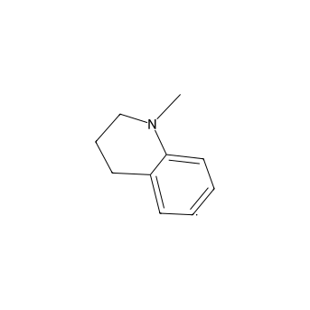 CN1CCCc2c[c]ccc21